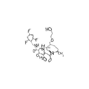 C[C@H]1CCC(COCCO)[C@H]2CN1C(=O)c1c(O)c(=O)c(C(=O)NCc3c(F)cc(F)cc3F)cn12